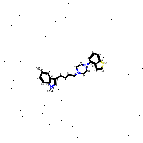 CC(=O)n1cc(CCCCN2CCN(c3cccc4sccc34)CC2)c2cc(C#N)ccc21